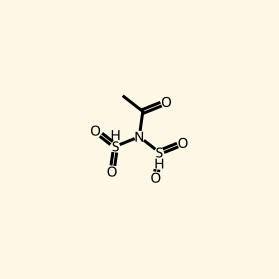 CC(=O)N([SH](=O)=O)[SH](=O)=O